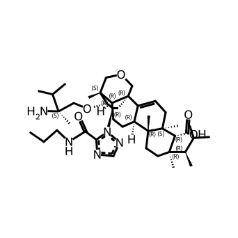 CCCNC(=O)c1ncnn1[C@@H]1C[C@@]23COC[C@](C)([C@@H]2CC[C@H]2C3=CC[C@@]3(C)[C@H](C(=O)O)[C@@](C)([C@H](C)C(C)C)CC[C@]23C)[C@H]1OC[C@@](C)(N)C(C)C